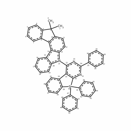 CC1(C)c2ccccc2-c2c1ccc1c2c2ccccc2n1-c1nc(-c2ccccc2)nc2c1-c1ccccc1[Si]2(c1ccccc1)c1ccccc1